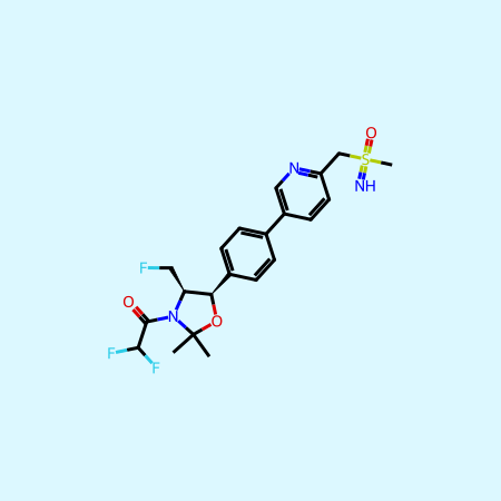 CC1(C)O[C@H](c2ccc(-c3ccc(CS(C)(=N)=O)nc3)cc2)[C@H](CF)N1C(=O)C(F)F